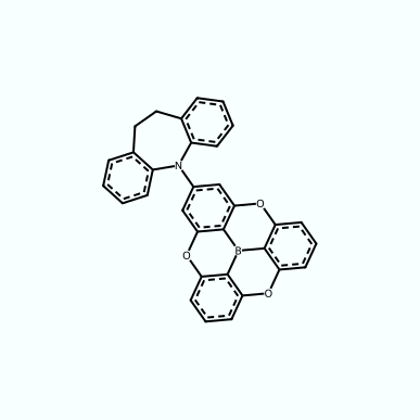 c1ccc2c(c1)CCc1ccccc1N2c1cc2c3c(c1)Oc1cccc4c1B3c1c(cccc1O2)O4